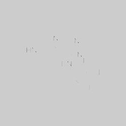 Fc1ccc(Nc2ncnc3cnc(C4CNC4)cc23)c(F)c1Cl